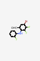 O=Cc1cc(Br)c(F)c(F)c1Nc1ccccc1F